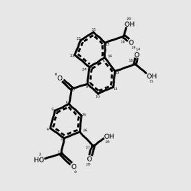 O=C(O)c1ccc(C(=O)c2ccc(C(=O)O)c3c(C(=O)O)cccc23)cc1C(=O)O